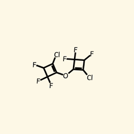 FC1C(Cl)=C(OC2=C(Cl)C(F)C2(F)F)C1(F)F